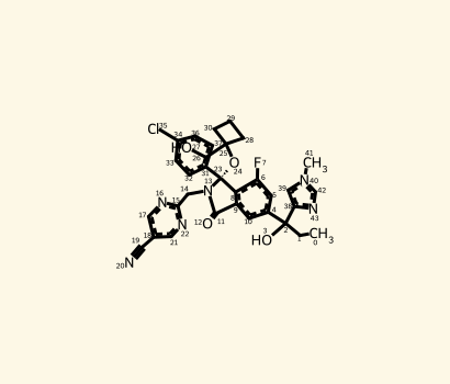 CCC(O)(c1cc(F)c2c(c1)C(=O)N(Cc1ncc(C#N)cn1)[C@@]2(OC1(CO)CCC1)c1ccc(Cl)cc1)c1cn(C)cn1